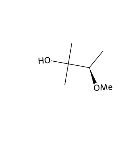 CO[C@H](C)C(C)(C)O